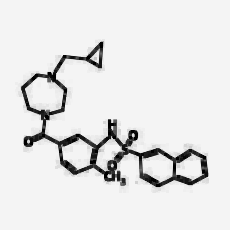 Cc1ccc(C(=O)N2CCCN(CC3CC3)CC2)cc1NS(=O)(=O)c1ccc2ccccc2c1